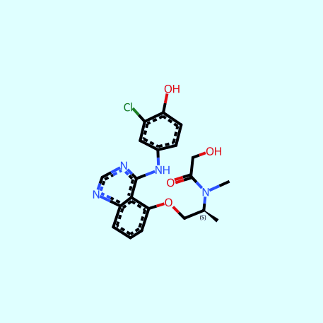 C[C@@H](COc1cccc2ncnc(Nc3ccc(O)c(Cl)c3)c12)N(C)C(=O)CO